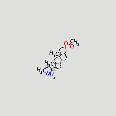 C/C=C\C(=C/N)C1=CCC2C3CC=C4CC(OC(C)=O)CCC4(C)C3CCC12C